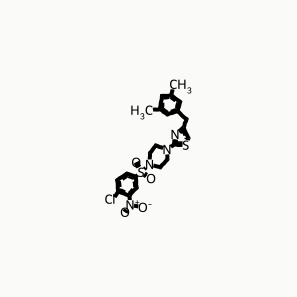 Cc1cc(C)cc(Cc2csc(N3CCN(S(=O)(=O)c4ccc(Cl)c([N+](=O)[O-])c4)CC3)n2)c1